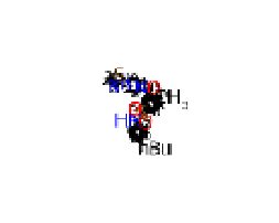 CCCCc1ccc(NS(=O)(=O)c2ccc(C)c(C(=O)N3CCN(c4nccs4)CC3)c2)cc1